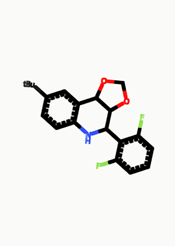 CC(C)(C)c1ccc2c(c1)C1OCOC1C(c1c(F)cccc1F)N2